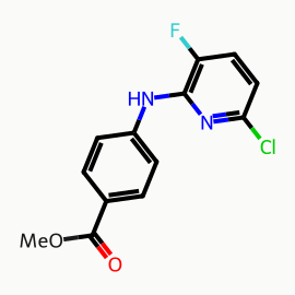 COC(=O)c1ccc(Nc2nc(Cl)ccc2F)cc1